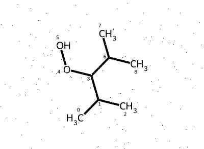 CC(C)C(OO)C(C)C